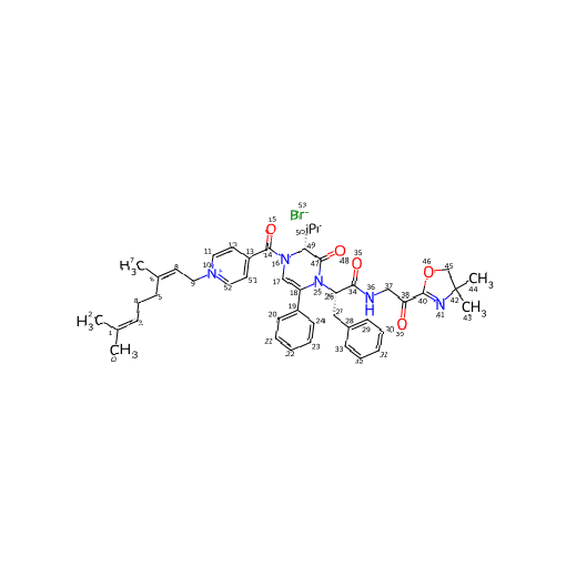 CC(C)=CCCC(C)=CC[n+]1ccc(C(=O)N2C=C(c3ccccc3)N([C@@H](Cc3ccccc3)C(=O)NCC(=O)C3=NC(C)(C)CO3)C(=O)[C@H]2C(C)C)cc1.[Br-]